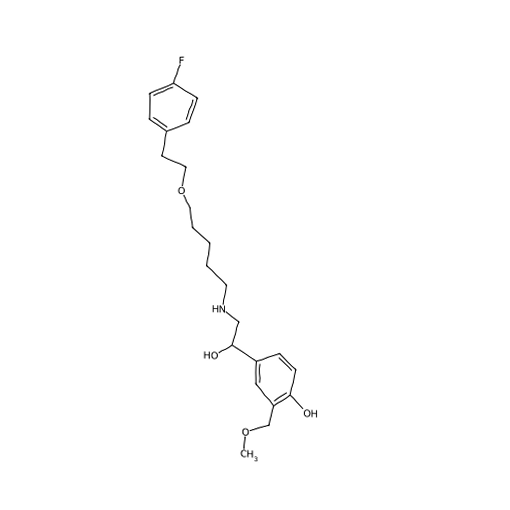 COCc1cc(C(O)CNCCCCCOCCc2ccc(F)cc2)ccc1O